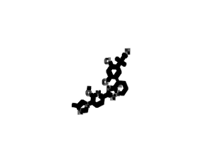 COc1nc(-c2nc3n(n2)CCC[C@@H]3c2cc(C(C)(C)C#N)c(Cl)cc2Cl)ccc1-n1cnc(C)c1